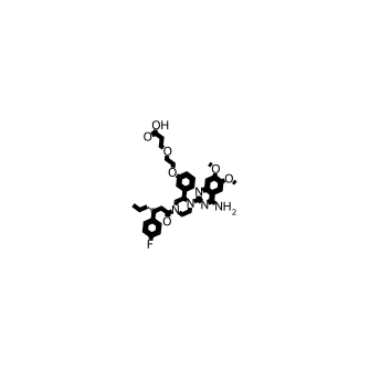 CCC[C@H](CC(=O)N1CCN(c2nc(N)c3cc(OC)c(OC)cc3n2)C(c2cccc(OCCOCCC(=O)O)c2)C1)c1ccc(F)cc1